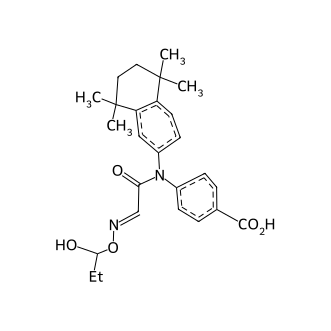 CCC(O)ON=CC(=O)N(c1ccc(C(=O)O)cc1)c1ccc2c(c1)C(C)(C)CCC2(C)C